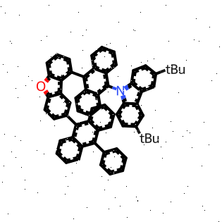 CC(C)(C)c1ccc2c(c1)c1cc(C(C)(C)C)ccc1n2-c1c2ccccc2c(-c2cccc3oc4ccc(-c5c6ccccc6c(-c6ccccc6)c6ccccc56)cc4c23)c2ccccc12